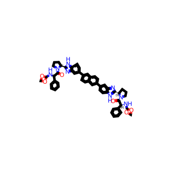 O=C([C@H](NC1OCO1)c1ccccc1)N1CCC[C@H]1c1nc2cc(-c3ccc4cc(-c5ccc6[nH]c([C@@H]7CCCN7C(=O)[C@H](NC7OCO7)c7ccccc7)nc6c5)ccc4c3)ccc2[nH]1